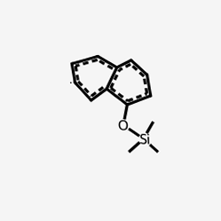 C[Si](C)(C)Oc1cccc2cc[c]cc12